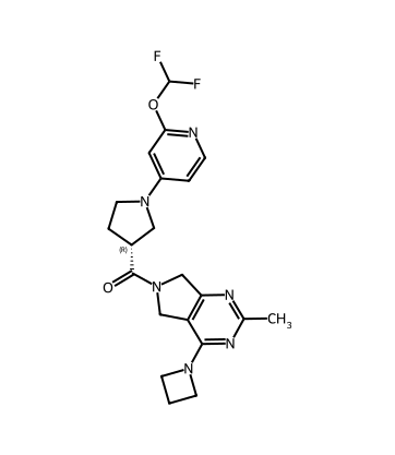 Cc1nc2c(c(N3CCC3)n1)CN(C(=O)[C@@H]1CCN(c3ccnc(OC(F)F)c3)C1)C2